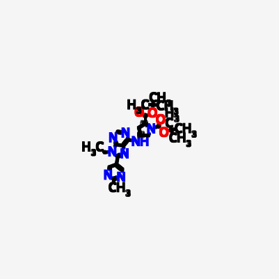 CCn1c(-c2cnc(C)nc2)nc2c(N[C@H]3C[C@@H](C(=O)OC(C)(C)C)N(C(=O)OC(C)(C)C)C3)ncnc21